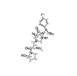 CC(C)(C)[C@H](c1ccc(F)cc1)N1C(=O)[C@@H]2C[C@H]1CN2C[C@H](N)C(=O)N1CCC[C@H]1C#N